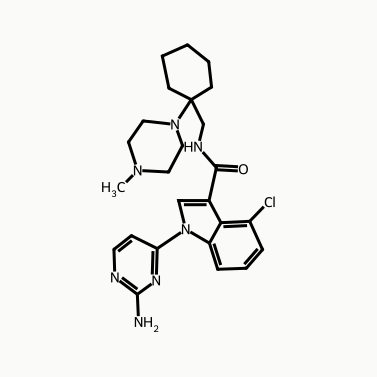 CN1CCN(C2(CNC(=O)c3cn(-c4ccnc(N)n4)c4cccc(Cl)c34)CCCCC2)CC1